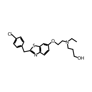 CCN(CCCO)CCOc1ccc2nc(Cc3ccc(Cl)cc3)sc2c1